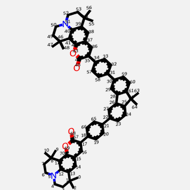 CC1(C)CCN2CCC(C)(C)c3c2c1cc1cc(-c2ccc(-c4ccc5c(c4)-c4cc(-c6ccc(-c7cc8cc9c%10c(c8oc7=O)C(C)(C)CCN%10CCC9(C)C)cc6)ccc4C5(C)C)cc2)c(=O)oc31